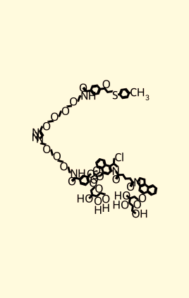 Cc1ccc(SCCC(=O)c2ccc(C(=O)NCCOCCOCCOCCOCc3cn(CCOCCOCCOCCNC(=O)c4ccc(OC5CC(O)C(O)C(CO)O5)c(OS(=O)(=O)Oc5cc6c(c7ccccc57)C(CCl)CN6C(=O)CCCC(=O)N5CCc6c5cc(OC5CC(O)C(O)C(CO)O5)c5ccccc65)c4)nn3)cc2)cc1